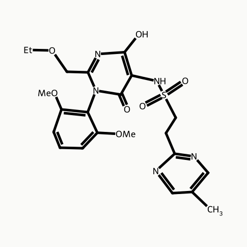 CCOCc1nc(O)c(NS(=O)(=O)CCc2ncc(C)cn2)c(=O)n1-c1c(OC)cccc1OC